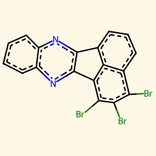 Brc1c(Br)c2c3c(cccc3c1Br)-c1nc3ccccc3nc1-2